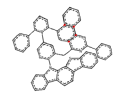 c1ccc(-c2nc(Cc3cc(-c4c(-c5ccccc5)cccc4-c4ccccc4)cnc3-n3c4ccccc4c4ccc5c6ccccc6sc5c43)nc(-c3ccccc3)n2)cc1